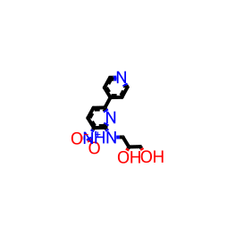 O=[N+]([O-])c1ccc(-c2ccncc2)nc1NCC(O)CO